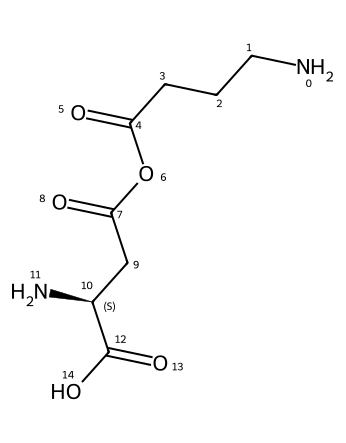 NCCCC(=O)OC(=O)C[C@H](N)C(=O)O